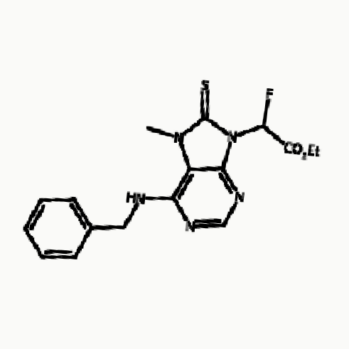 CCOC(=O)C(F)n1c(=S)n(C)c2c(NCc3ccccc3)ncnc21